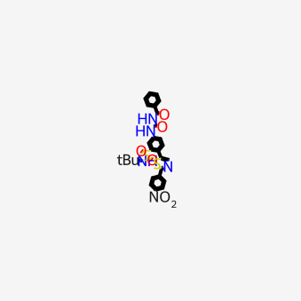 CC(C)(C)NS(=O)(=O)c1cc(NC(=O)NC(=O)c2ccccc2)ccc1-c1cnc(-c2ccc([N+](=O)[O-])cc2)s1